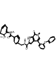 Cn1cc(-c2ccccc2Oc2ccccc2)c2cc(C(=O)NCc3ccc(C(=O)Nc4ccccc4N)cc3)[nH]c2c1=O